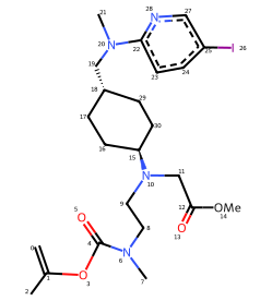 C=C(C)OC(=O)N(C)CCN(CC(=O)OC)[C@H]1CC[C@H](CN(C)c2ccc(I)cn2)CC1